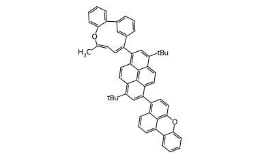 C/C1=C\C=C(\c2cc(C(C)(C)C)c3ccc4c(-c5ccc6c7c(cccc57)-c5ccccc5O6)cc(C(C)(C)C)c5ccc2c3c45)c2cccc(c2)-c2ccccc2O1